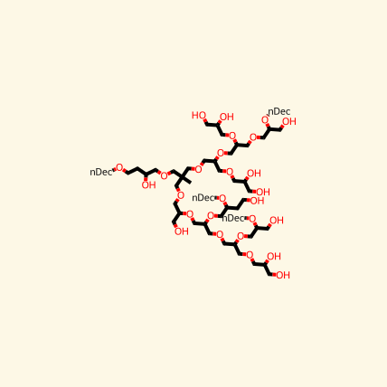 CCCCCCCCCCOCCC(O)COCC(C)(COCC(CO)OCC(COCC(COCC(O)CO)OCC(CO)OCCCCCCCCCC)OCC(CCO)OCCCCCCCCCC)COCC(COCC(O)CO)OCC(COCC(CO)OCCCCCCCCCC)OCC(O)CO